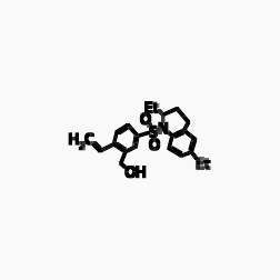 C=Cc1ccc(S(=O)(=O)N2c3ccc(CC)cc3CCC2CC)cc1CO